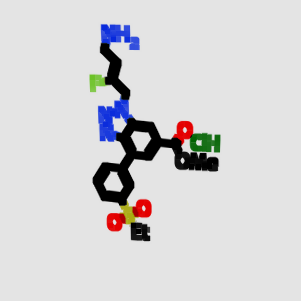 CCS(=O)(=O)c1cccc(-c2cc(C(=O)OC)cc3c2nnn3C/C(F)=C/CN)c1.Cl